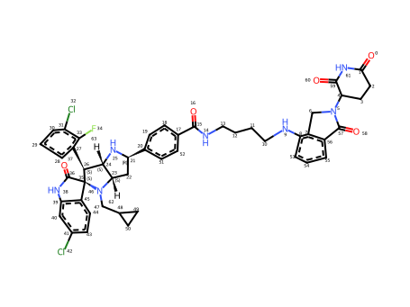 O=C1CCC(N2Cc3c(NCCCCNC(=O)c4ccc([C@H]5C[C@H]6[C@@H](N5)[C@H](c5cccc(Cl)c5F)[C@]5(C(=O)Nc7cc(Cl)ccc75)N6CC5CC5)cc4)cccc3C2=O)C(=O)N1